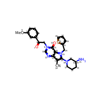 COc1cccc(C(=O)Cn2cnc3c(C#N)c(N4CCC[C@H](N)C4)n(Cc4cccs4)c3c2=O)c1